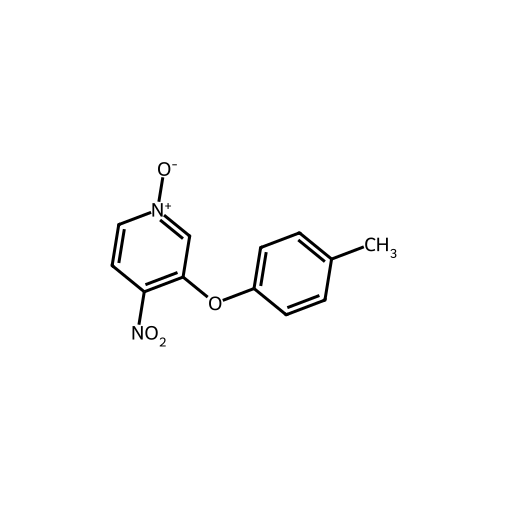 Cc1ccc(Oc2c[n+]([O-])ccc2[N+](=O)[O-])cc1